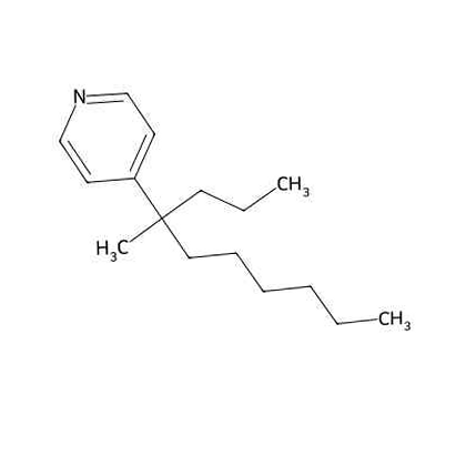 CCCCCCC(C)(CCC)c1ccncc1